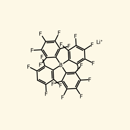 Fc1cc(F)c(F)c([B-](c2c(F)c(F)c(F)c(F)c2F)(c2c(F)c(F)c(F)c(F)c2F)c2c(F)c(F)c(F)c(F)c2F)c1F.[Li+]